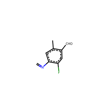 C=Nc1cc(C)c(C=O)cc1F